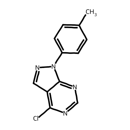 Cc1ccc(-n2ncc3c(Cl)ncnc32)cc1